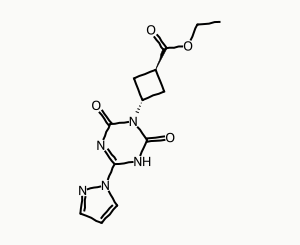 CCOC(=O)[C@H]1C[C@H](n2c(=O)nc(-n3cccn3)[nH]c2=O)C1